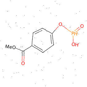 COC(=O)c1ccc(O[PH](=O)O)cc1